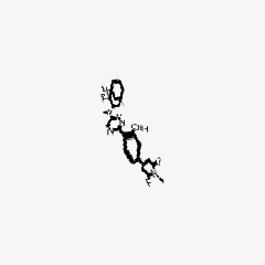 CN(c1cnc(-c2ccc(-c3cc(F)n(C)c(=O)c3)cc2O)nn1)[C@H]1C[C@]2(C)CCC[C@@H](C2)[C@H]1F